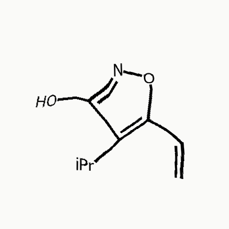 C=Cc1onc(O)c1C(C)C